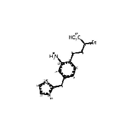 CCC(CCc1ccc(Cc2nccs2)cc1N)C(=O)O